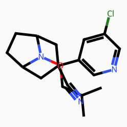 CC(C)CON1C2CCC1CC(C#N)(c1cncc(Cl)c1)C2